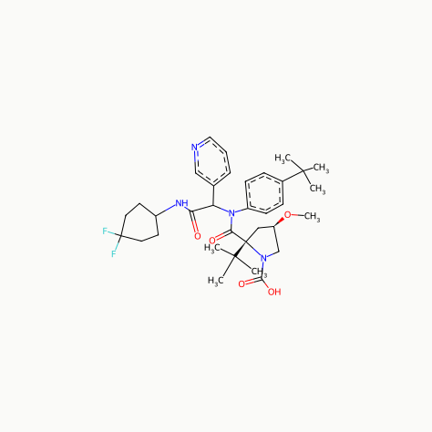 CO[C@H]1CN(C(=O)O)[C@@](C(=O)N(c2ccc(C(C)(C)C)cc2)C(C(=O)NC2CCC(F)(F)CC2)c2cccnc2)(C(C)(C)C)C1